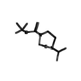 C=C(OC(C)(C)C)N1CCN(C(C)C)CC1